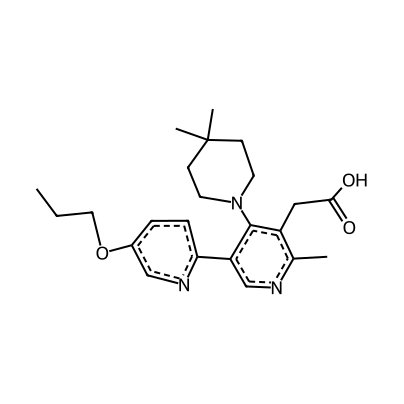 CCCOc1ccc(-c2cnc(C)c(CC(=O)O)c2N2CCC(C)(C)CC2)nc1